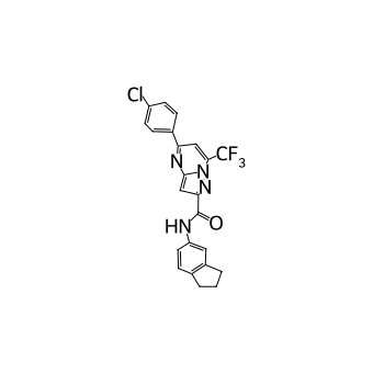 O=C(Nc1ccc2c(c1)CCC2)c1cc2nc(-c3ccc(Cl)cc3)cc(C(F)(F)F)n2n1